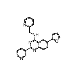 c1ccc(CNc2nc(-c3cccnc3)nc3ccc(-c4ccco4)cc23)nc1